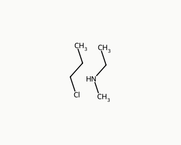 CCCCl.CCNC